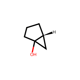 OC12CCC[C@@H]1C2